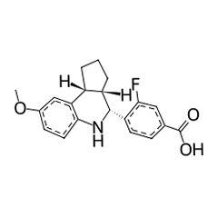 COc1ccc2c(c1)[C@@H]1CCC[C@@H]1[C@H](c1ccc(C(=O)O)cc1F)N2